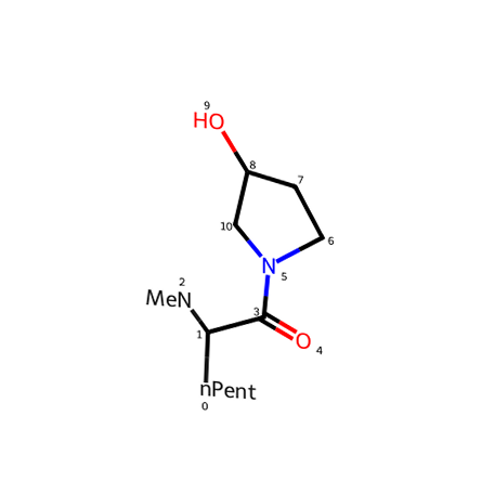 CCCCCC(NC)C(=O)N1CCC(O)C1